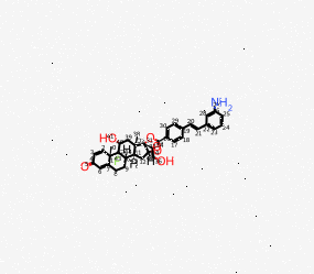 C[C@]12C=CC(=O)C=C1CC[C@H]1[C@@H]3C[C@H]4O[C@H](c5ccc(/C=C/c6cccc(N)c6)cc5)O[C@@]4(C(=O)CO)[C@@]3(C)C[C@H](O)[C@@]12F